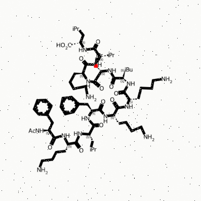 CC[C@H](C)[C@H](NC(=O)[C@H](CCCCN)NC(=O)[C@H](CCCCN)NC(=O)[C@H](Cc1ccccc1)NC(=O)[C@H](CC(C)C)NC(=O)[C@H](CCCCN)NC(=O)[C@H](Cc1ccccc1)NC(C)=O)C(=O)N[C@@H](CC(C)C)C(=O)N[C@@H](CCCCN)C(=O)N[C@H](C(=O)N[C@@H](CC(C)C)C(=O)O)C(C)C